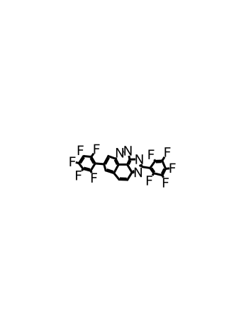 Fc1c(F)c(F)c(-c2cc3ccc4nc(-c5c(F)c(F)c(F)c(F)c5F)nc5nnc(c2)c3c45)c(F)c1F